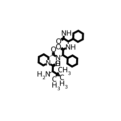 CC(C)(C)[C@H](N)C(=O)N1CCCC[C@@H]1C(=O)N[C@H](C(=O)N[C@H](C(N)=O)C1CCCCC1)C1CCCCC1